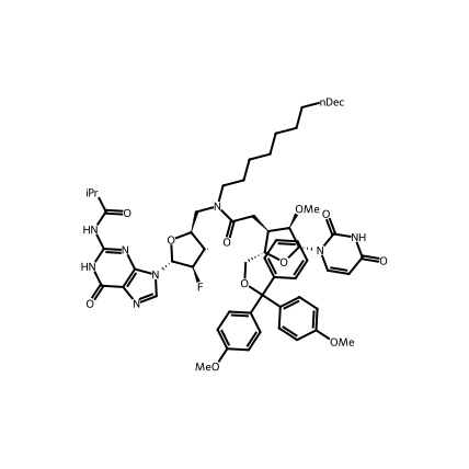 CCCCCCCCCCCCCCCCCN(C[C@H]1[CH][C@@H](F)[C@H](n2cnc3c(=O)[nH]c(NC(=O)C(C)C)nc32)O1)C(=O)C[C@H]1[C@@H](OC)[C@H](n2ccc(=O)[nH]c2=O)O[C@@H]1COC(c1ccccc1)(c1ccc(OC)cc1)c1ccc(OC)cc1